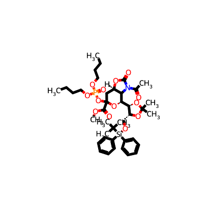 CCCCOP(=O)(OCCCC)OC1(C(=O)OC)C[C@H]2OC(=O)N(C(C)=O)C2[C@H]([C@@H]2OC(C)(C)O[C@@H]2CO[Si](c2ccccc2)(c2ccccc2)C(C)(C)C)O1